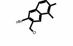 CCCCc1cc2ccc(C)c(C)c2cc1CCl